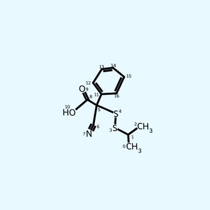 CC(C)SSC(C#N)(C(=O)O)c1ccccc1